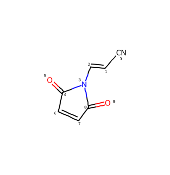 N#CC=CN1C(=O)C=CC1=O